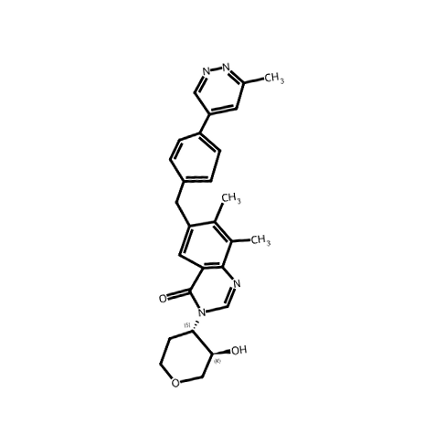 Cc1cc(-c2ccc(Cc3cc4c(=O)n([C@H]5CCOC[C@@H]5O)cnc4c(C)c3C)cc2)cnn1